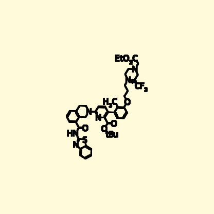 CCOC(=O)CN1CCN(CCCOc2cccc(-c3ccc(N4CCc5cccc(C(=O)Nc6nc7ccccc7s6)c5C4)nc3C(=O)OC(C)(C)C)c2C)[C@H](C(F)(F)F)C1